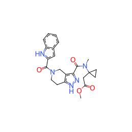 COC(=O)CC1(N(C)C(=O)c2n[nH]c3c2CN(C(=O)c2cc4ccccc4[nH]2)CC3)CC1